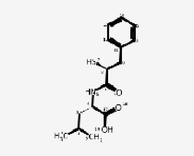 CC(C)C[C@H](NC(=O)[C@@H](S)Cc1ccccc1)C(=O)O